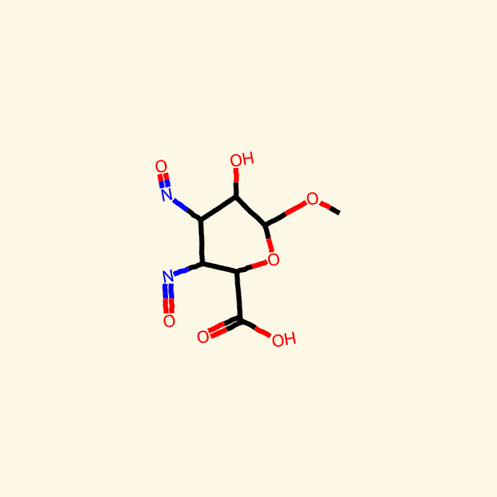 COC1OC(C(=O)O)C(N=O)C(N=O)C1O